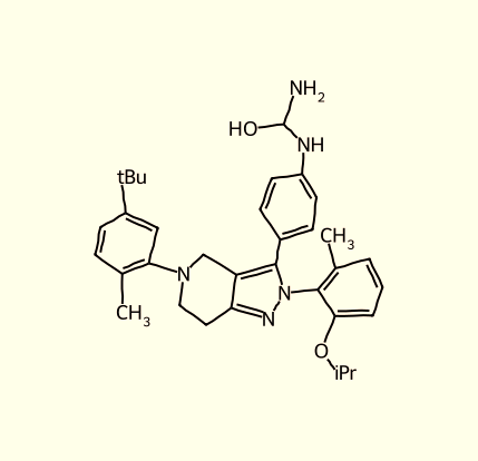 Cc1ccc(C(C)(C)C)cc1N1CCc2nn(-c3c(C)cccc3OC(C)C)c(-c3ccc(NC(N)O)cc3)c2C1